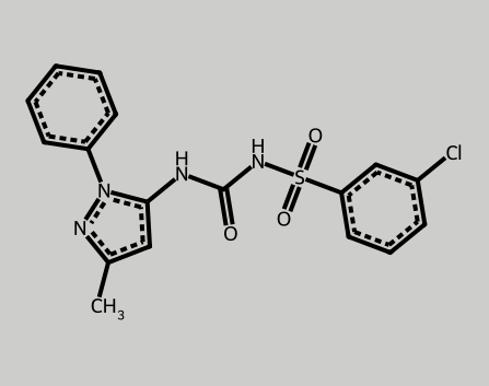 Cc1cc(NC(=O)NS(=O)(=O)c2cccc(Cl)c2)n(-c2ccccc2)n1